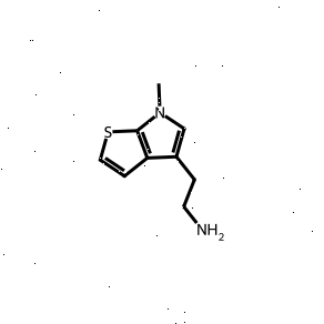 Cn1cc(CCN)c2ccsc21